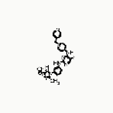 CON1N=C(C)N(c2cccc(Nc3ncc(F)c(NC4CCN(Cc5ccncc5)CC4)n3)c2)N1